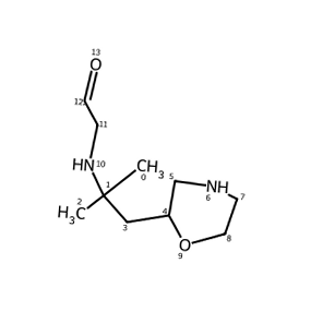 CC(C)(CC1CNCCO1)NC[C]=O